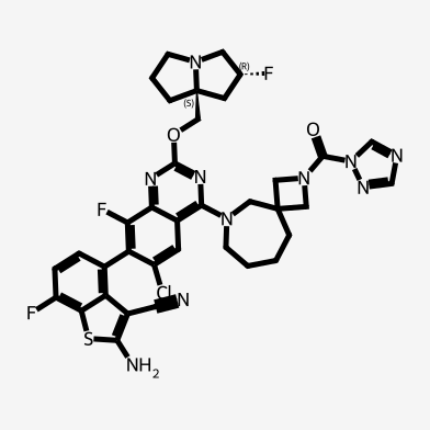 N#Cc1c(N)sc2c(F)ccc(-c3c(Cl)cc4c(N5CCCCC6(CN(C(=O)n7cncn7)C6)C5)nc(OC[C@@]56CCCN5C[C@H](F)C6)nc4c3F)c12